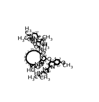 COc1ccc2c(O[C@@H]3C[C@H]4C(=O)N[C@]5(C(=O)O)CC5CCCCCCC[C@H](NC(=O)NC(C(=O)N5CCCN(C(C)C)S5(=O)=O)C(C)(C)C)C(=O)N4C3)cc(-c3csc(NC(C)C)n3)nc2c1